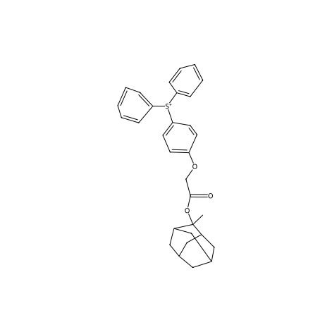 CC1(OC(=O)COc2ccc([S+](c3ccccc3)c3ccccc3)cc2)C2CC3CC(C2)CC1C3